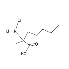 CCCCCC(C)(C(=O)O)N(Cl)Cl